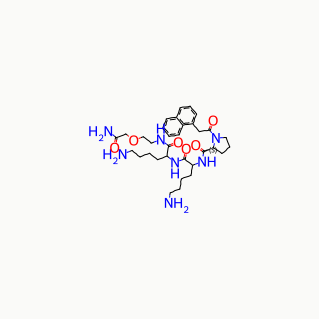 NCCCCC(NC(=O)C(CCCCN)NC(=O)[C@@H]1CCCN1C(=O)Cc1cccc2ccccc12)C(=O)NCCOCC(N)=O